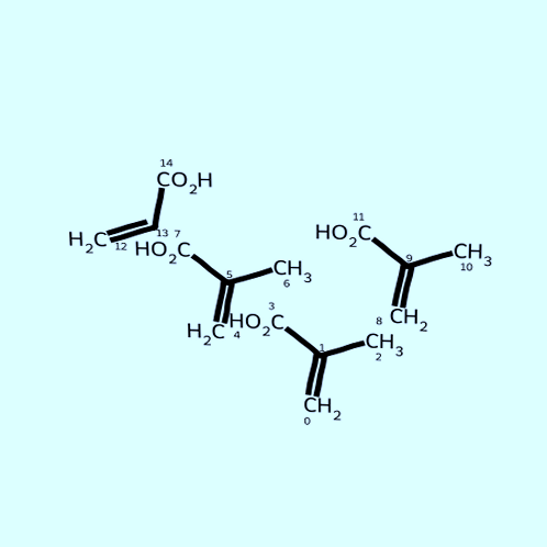 C=C(C)C(=O)O.C=C(C)C(=O)O.C=C(C)C(=O)O.C=CC(=O)O